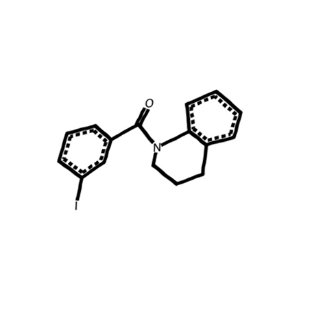 O=C(c1cccc(I)c1)N1CCCc2ccccc21